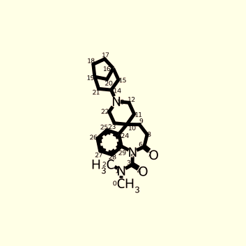 CN(C)C(=O)N1C(=O)CCC2(CCN(C3CC4CCC(C4)C3)CC2)c2ccccc21